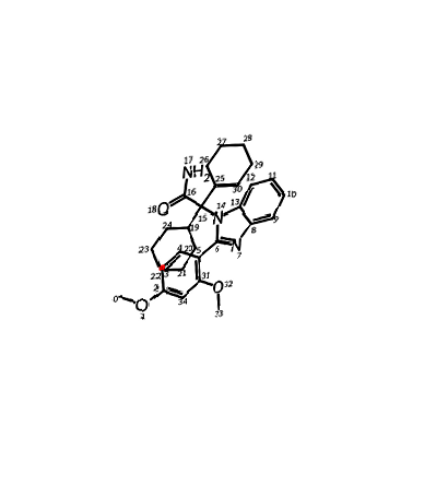 COc1ccc(-c2nc3ccccc3n2C(C(N)=O)(C2CCCCC2)C2CCCCC2)c(OC)c1